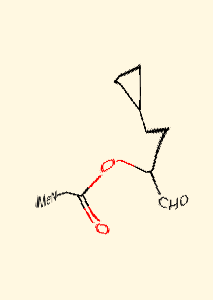 CNC(=O)OC(C=O)CC1CC1